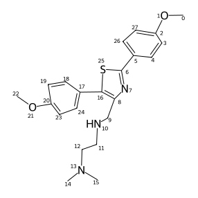 COc1ccc(-c2nc(CNCCN(C)C)c(-c3ccc(OC)cc3)s2)cc1